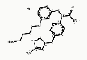 Br.CCCCCCCCCCCCCCOc1cccc(CN(C(=O)NC)c2ccc(CN3C=C(C)SC3)cc2)c1